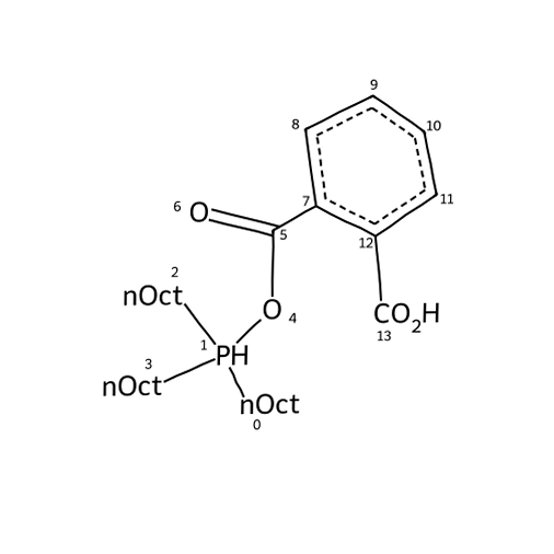 CCCCCCCC[PH](CCCCCCCC)(CCCCCCCC)OC(=O)c1ccccc1C(=O)O